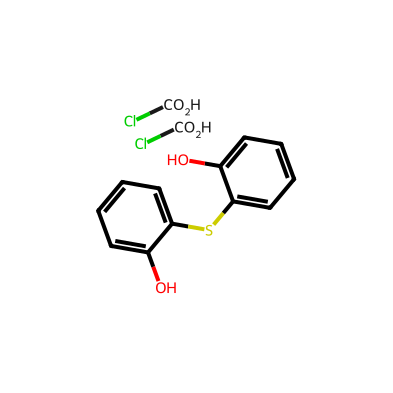 O=C(O)Cl.O=C(O)Cl.Oc1ccccc1Sc1ccccc1O